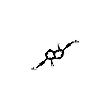 CCCCC#Cc1ccc2c(Br)c(C#CCCCC)ccc2c1Br